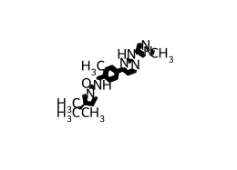 Cc1cc(-c2ccnc(Nc3cnn(C)c3)n2)ccc1CNC(=O)N1CC[C@@H](C(C)(C)C)C1